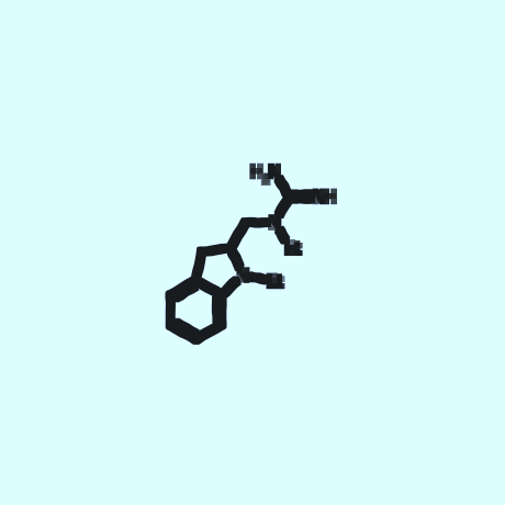 CCN(CC1Cc2ccccc2N1CC)C(=N)N